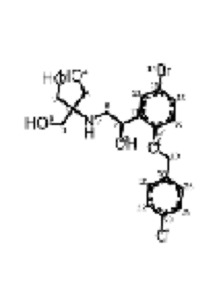 OCC(CO)(CO)NCC(O)c1cc(Br)ccc1OCc1ccc(Cl)cc1